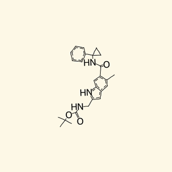 Cc1cc2cc(CNC(=O)OC(C)(C)C)[nH]c2cc1C(=O)NC1(c2ccccc2)CC1